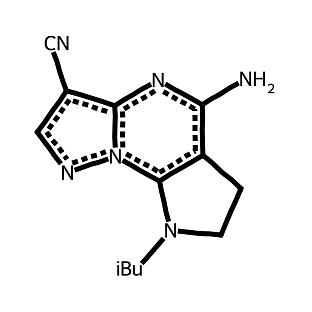 CCC(C)N1CCc2c(N)nc3c(C#N)cnn3c21